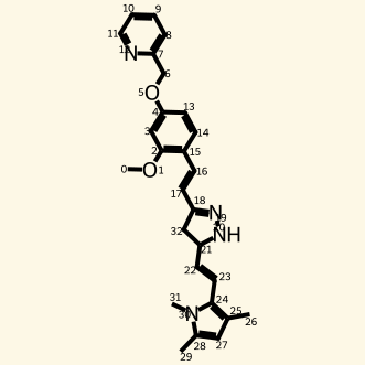 COc1cc(OCc2ccccn2)ccc1/C=C/C1=NNC(/C=C/c2c(C)cc(C)n2C)C1